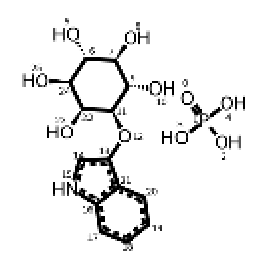 O=P(O)(O)O.O[C@@H]1[C@@H](O)[C@H](O)[C@@H](Oc2c[nH]c3ccccc23)[C@@H](O)[C@H]1O